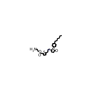 CCCCCCc1ccc(N2C(=O)CC[C@@H]2/C=C\Cc2ccc(C(=O)OCCN)s2)cc1